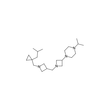 CC(C)CC1(CN2CC(CN3CC(N4CCN(C(C)C)CC4)C3)C2)CC1